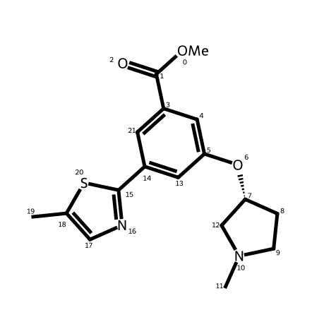 COC(=O)c1cc(O[C@@H]2CCN(C)C2)cc(-c2ncc(C)s2)c1